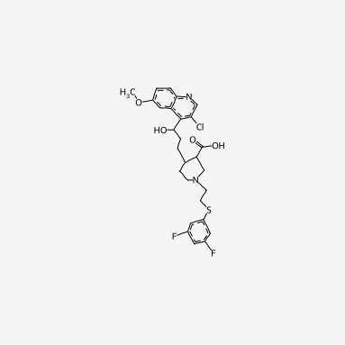 COc1ccc2ncc(Cl)c(C(O)CCC3CCN(CCSc4cc(F)cc(F)c4)CC3C(=O)O)c2c1